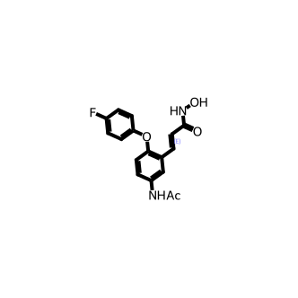 CC(=O)Nc1ccc(Oc2ccc(F)cc2)c(/C=C/C(=O)NO)c1